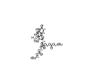 CC(C)(C)COC(=O)OCOP(=O)(OCOC(=O)OCC(C)(C)C)OC[C@H]1O[C@@H](n2ccc(=O)[nH]c2=S)[C@](C)(O)C1O